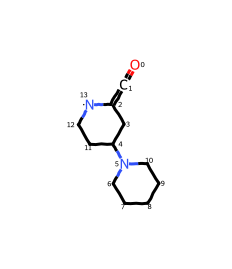 O=C=C1CC(N2CCCCC2)CC[N]1